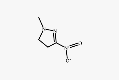 CN1[C]CC([N+](=O)[O-])=N1